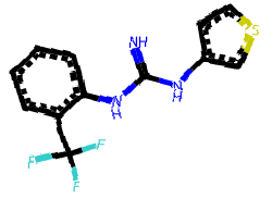 N=C(Nc1ccsc1)Nc1ccccc1C(F)(F)F